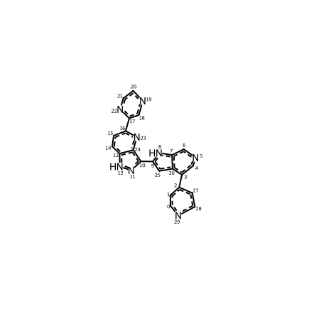 c1cc(-c2cncc3[nH]c(-c4n[nH]c5ccc(-c6cnccn6)nc45)cc23)ccn1